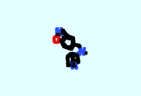 CN(Cc1ccc2oncc2c1)C1CN2CCC1CC2